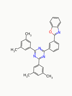 Cc1cc(C)cc(-c2nc(-c3cc(C)cc(C)c3)nc(-c3cccc(-c4nc5ccccc5o4)c3)n2)c1